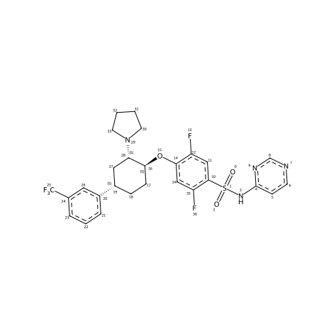 O=S(=O)(Nc1ccncn1)c1cc(F)c(O[C@H]2CC[C@H](c3cccc(C(F)(F)F)c3)C[C@@H]2N2CCCC2)cc1F